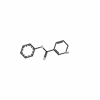 O=C(Oc1ccccc1)C1=[C]NCC=C1